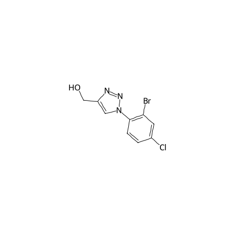 OCc1cn(-c2ccc(Cl)cc2Br)nn1